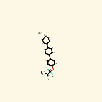 CCCCCCCCC1CCC(C2CCC(c3ccc(OC(F)(F)C(F)C(F)(F)F)cc3)CC2)CC1